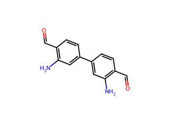 Nc1cc(-c2ccc(C=O)c(N)c2)ccc1C=O